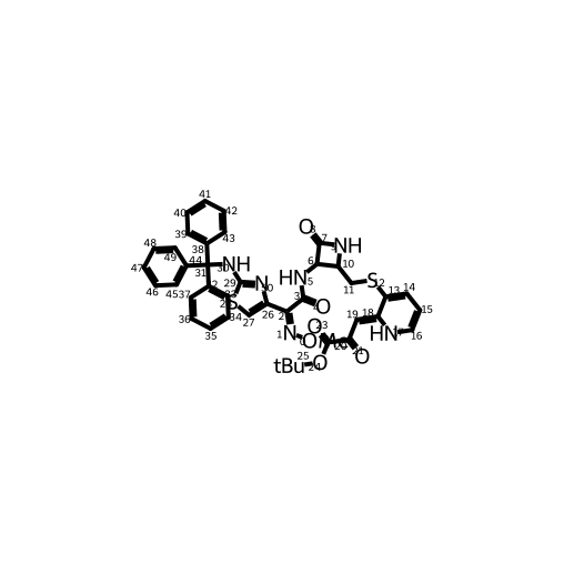 CON=C(C(=O)NC1C(=O)NC1CSC1=CC=CNC1=CC(=O)C(=O)OC(C)(C)C)c1csc(NC(c2ccccc2)(c2ccccc2)c2ccccc2)n1